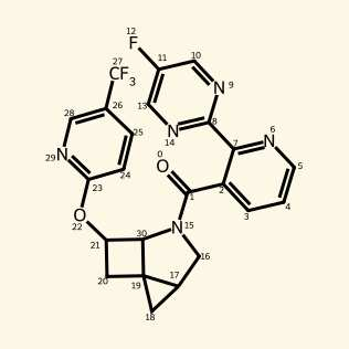 O=C(c1cccnc1-c1ncc(F)cn1)N1CC2CC23CC(Oc2ccc(C(F)(F)F)cn2)C13